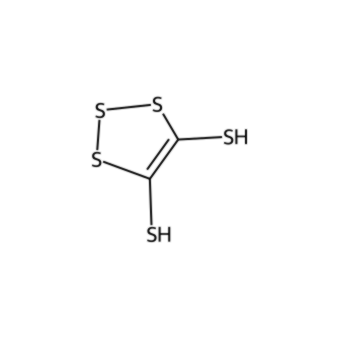 SC1=C(S)SSS1